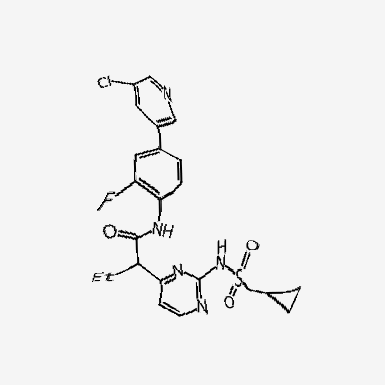 CCC(C(=O)Nc1ccc(-c2cncc(Cl)c2)cc1F)c1ccnc(NS(=O)(=O)C2CC2)n1